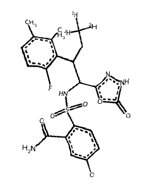 [2H]C([2H])([2H])CC(c1c(F)ccc(C)c1C)C(NS(=O)(=O)c1ccc(Cl)cc1C(N)=O)c1n[nH]c(=O)o1